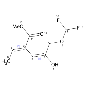 C/C=C(\C=C(\O)COC(F)F)C(=O)OC